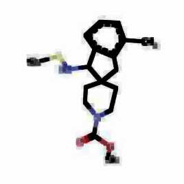 Cc1cccc2c1CC1(CCN(C(=O)OC(C)(C)C)CC1)C2NSC(C)(C)C